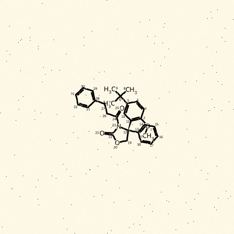 COc1ccc(C(C)(C)C)cc1[C@@]1(c2ccccc2)COC(=O)N1C(=O)CCc1ccccc1